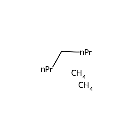 C.C.CCCCCCC